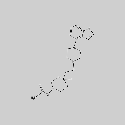 NC(=O)OC1CCC(F)(CCN2CCN(c3cccc4sccc34)CC2)CC1